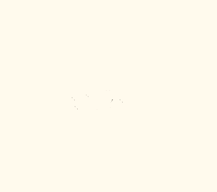 Cc1nnc([C@H]2CC[C@@H]2C(=O)Nc2ccccc2)n1C